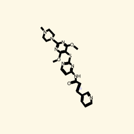 COc1nc(N2CCN(C)CC2)nc(OC)c1Sc1nccc(NC(=O)/C=C/c2cccnc2)n1